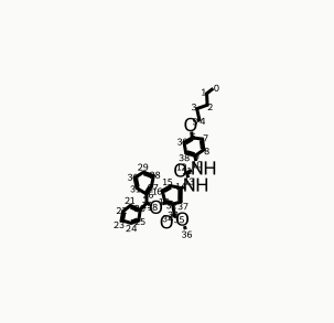 CCCCCOc1ccc(NC(=O)Nc2ccc(OC(c3ccccc3)c3ccccc3)c(C(=O)OC)c2)cc1